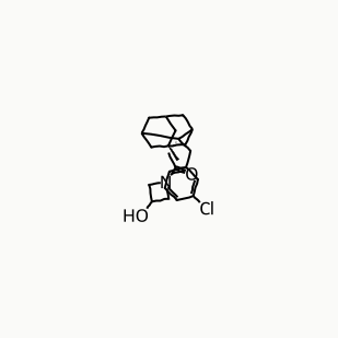 C[C@]12CC3CC(C1)[C@](CC(=O)N1CC(O)C1)(Cc1cccc(Cl)c1)C(C3)C2